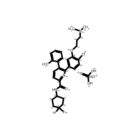 Cc1ccccc1-c1ccc(C(=O)NC2CCC(F)(F)CC2)nc1-c1ccc(Cl)c(OCCCN(C)C)c1.Cl.O=C(O)O